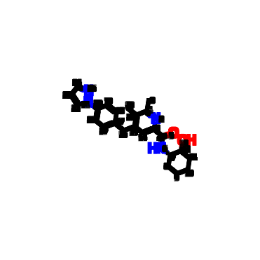 Cc1nc(C(=O)N[C@H]2CCCC[C@@H]2O)cc(Cc2ccc(-n3cccn3)cc2)c1C